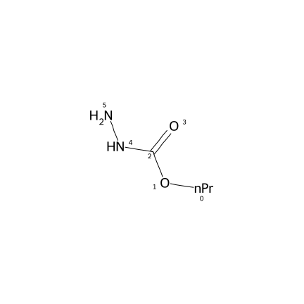 CCCOC(=O)NN